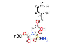 CCCCOC(=O)N(CC(=O)OCc1ccccc1)S(N)(=O)=O